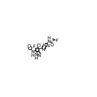 O=C(Nc1cn2cc(-c3c(Cl)c(F)c(NC4CCOC4)c4[nH]ncc34)ncc2n1)[C@@H]1C[C@@H]1F